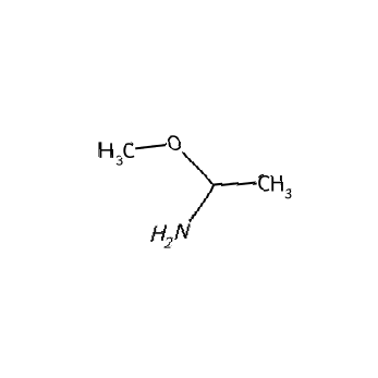 COC(C)N